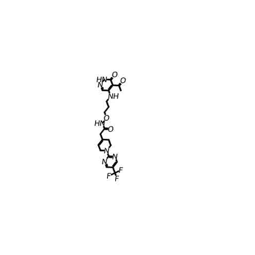 CC(=O)c1c(NCCCONC(=O)CC2=CCN(c3ncc(C(F)(F)F)cn3)CC2)cn[nH]c1=O